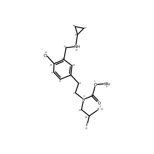 CC(C)(C)OC(=O)N(CCc1ccc(Cl)c(CNC2CC2)c1)CC(F)F